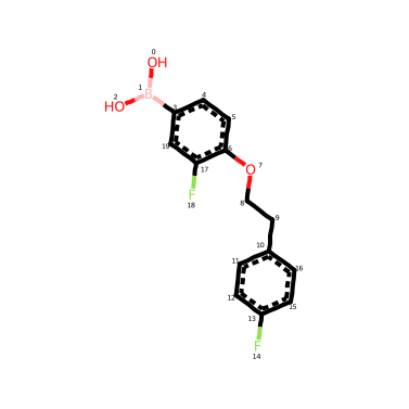 OB(O)c1ccc(OCCc2ccc(F)cc2)c(F)c1